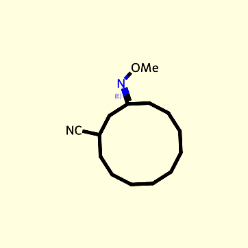 CO/N=C1\CCCCCCCCCC(C#N)C1